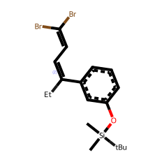 CC/C(=C/C=C(Br)Br)c1cccc(O[Si](C)(C)C(C)(C)C)c1